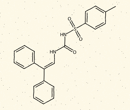 Cc1ccc(S(=O)(=O)NC(=O)NC=C(c2ccccc2)c2ccccc2)cc1